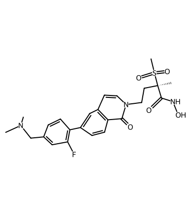 CN(C)Cc1ccc(-c2ccc3c(=O)n(CC[C@](C)(C(=O)NO)S(C)(=O)=O)ccc3c2)c(F)c1